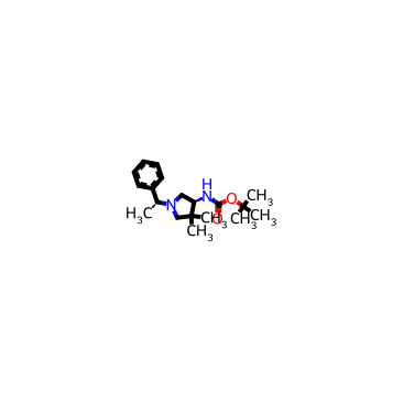 C[C@H](c1ccccc1)N1C[C@@H](NC(=O)OC(C)(C)C)C(C)(C)C1